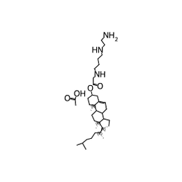 CC(=O)O.CC(C)CCC[C@@H](C)[C@H]1CCC2C3CC=C4CC(OC(=O)CNCCCCNCCN)CC[C@]4(C)C3CC[C@@]21C